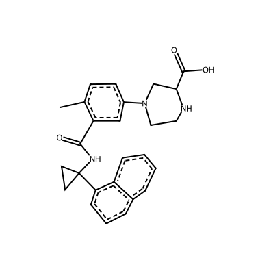 Cc1ccc(N2CCNC(C(=O)O)C2)cc1C(=O)NC1(c2cccc3ccccc23)CC1